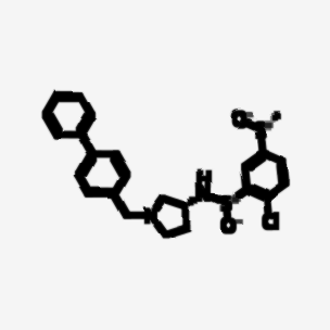 C[S@@+]([O-])c1ccc(Cl)c([S+]([O-])N[C@@H]2CCN(Cc3ccc(-c4ccccc4)cc3)C2)c1